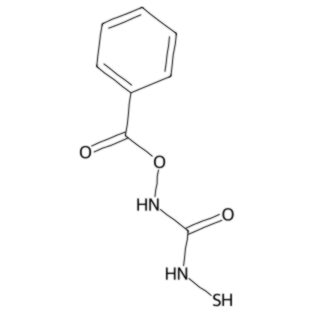 O=C(NS)NOC(=O)c1ccccc1